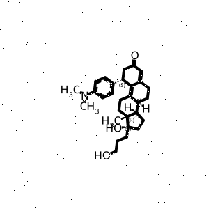 CN(C)c1ccc([C@@H]2CC(=O)C=C3CC[C@@H]4C(=C32)CC[C@]2(C)[C@H]4CC[C@]2(O)CCCO)cc1